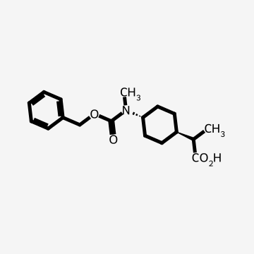 CC(C(=O)O)[C@H]1CC[C@H](N(C)C(=O)OCc2ccccc2)CC1